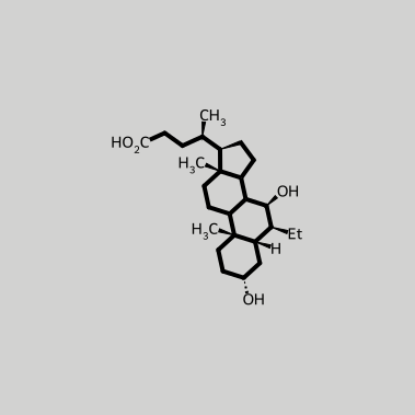 CC[C@@H]1[C@H](O)C2C3CC[C@H]([C@H](C)CCC(=O)O)[C@@]3(C)CCC2[C@@]2(C)CC[C@@H](O)C[C@@H]12